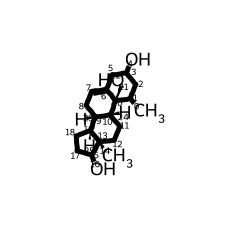 CC1CC(O)CC2=CC[C@@H]3[C@@H](CC[C@]4(C)C(O)CC[C@@H]34)[C@]21CO